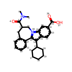 CN(C)C(=O)C1Cc2ccccc2-c2c(C3CCCCC3)c3ccc(C(=O)O)cc3n2C1